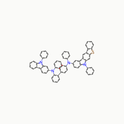 c1ccc(N(c2ccc(-c3ccccc3N(c3ccccc3)c3ccc4c5ccccc5n(-c5ccccc5)c4c3)cc2)c2ccc3c(c2)c2cc4c(cc2n3-c2ccccc2)sc2ccccc24)cc1